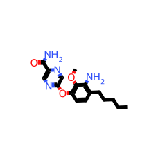 CCCCCc1ccc(Oc2cnc(C(N)=O)cn2)c(OC)c1N